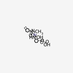 CC1=NN(c2ccc3c(c2)CC3)C(=O)/C1=N\Nc1cccc(-c2ccc(C(=O)O)o2)c1O